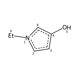 CCn1ccc(O)c1